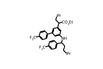 CCOC(=O)C(CC(C)C)c1cc(NC(CCC(C)C)c2ccc(C(F)(F)F)cc2)cc(-c2ccc(C(F)(F)F)cc2)c1